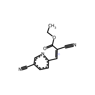 CCOC(=O)/C(C#N)=C\c1ccc(C#N)cn1